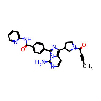 CC#CC(=O)N1CCC(c2nc(-c3ccc(C(=O)Nc4ccccn4)cc3)n3c(N)nccc23)C1